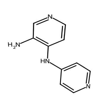 Nc1cnccc1Nc1ccncc1